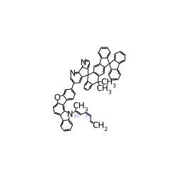 C=C/C=C\C=C(/C)n1c2ccccc2c2ccc3oc4cc(-c5cnc6c(c5)C5(c7ccccc7C(C)(C)c7cc8c(cc75)-c5ccccc5C85c7ccccc7-c7ccccc75)c5cccnc5-6)ccc4c3c21